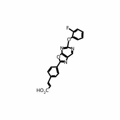 O=C(O)/C=C/c1ccc(-c2nc3cnc(Oc4ccccc4F)nc3o2)cc1